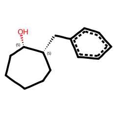 O[C@H]1CCCCC[C@H]1Cc1ccccc1